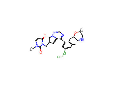 CCn1ccc(=O)n(Cc2cc3c(-c4cc(Cl)cc(C)c4CC4CNC[C@H](C)O4)ncnn3c2)c1=O.Cl